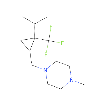 CC(C)C1(C(F)(F)F)CC1CN1CCN(C)CC1